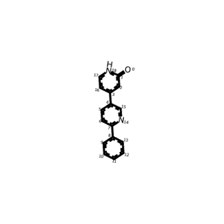 O=c1cc(-c2ccc(-c3ccccc3)nc2)cc[nH]1